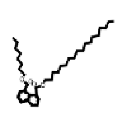 CCCCCCCCCCCCCCCCCCOC(=O)c1cccc2cccc(C(=O)OCCCCCCCC)c12